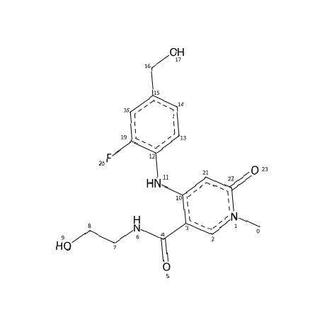 Cn1cc(C(=O)NCCO)c(Nc2ccc(CO)cc2F)cc1=O